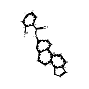 O=C(Oc1ccc2c(ccc3c4c(ccc32)C=CC4)c1)c1ccccc1O